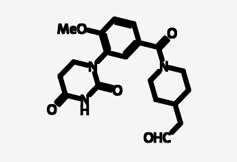 COc1ccc(C(=O)N2CCC(CC=O)CC2)cc1N1CCC(=O)NC1=O